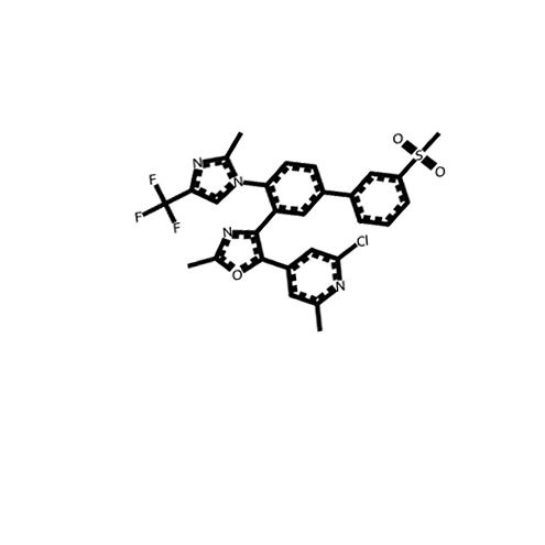 Cc1cc(-c2oc(C)nc2-c2cc(-c3cccc(S(C)(=O)=O)c3)ccc2-n2cc(C(F)(F)F)nc2C)cc(Cl)n1